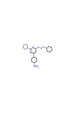 Nc1ccc(-c2cc(CCCc3ccccc3)nc(C3CCCC3)n2)cc1